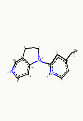 CC(C)c1ccnc(N2CCc3cnccc32)c1